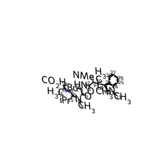 CNC(C(=O)NC(C(=O)N(C)[C@H](/C=C(\C)C(=O)O)C(C)C)C(C)(C)C)C(C)(C)c1cn(C)c2ccccc12